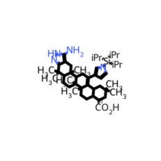 CC(C)[Si](C(C)C)(C(C)C)n1ccc(C2=C3C4CC(C)(C)C[C@@H](C(=O)O)C4CCC3(C)C3(C)CCC4C(C)(C)c5n[nH]c(N)c5CC4(C)C3C2)c1